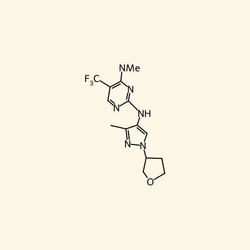 CNc1nc(Nc2cn(C3CCOC3)nc2C)ncc1C(F)(F)F